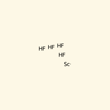 F.F.F.F.[Sc]